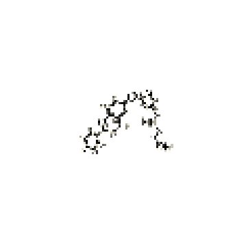 OCCNCc1cnc(Oc2ccc3c(c2)CCC(c2ccccc2)O3)s1